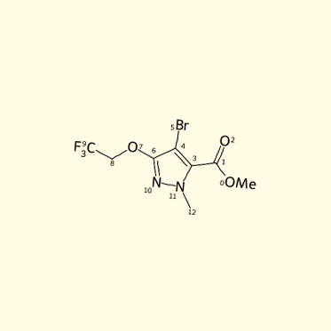 COC(=O)c1c(Br)c(OCC(F)(F)F)nn1C